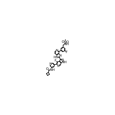 CS(=O)(=O)NCc1cc(F)cc(-c2nccc3[nH]c(-c4n[nH]c5cnc(-c6cncc(NC(=O)C7CCC7)c6)c(F)c45)nc23)c1